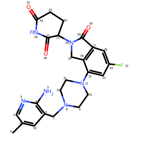 Cc1cnc(N)c(CN2CCN(c3cc(F)cc4c3CN(C3CCC(=O)NC3=O)C4=O)CC2)c1